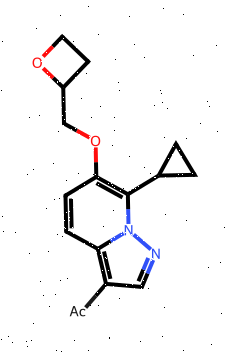 CC(=O)c1cnn2c(C3CC3)c(OCC3CCO3)ccc12